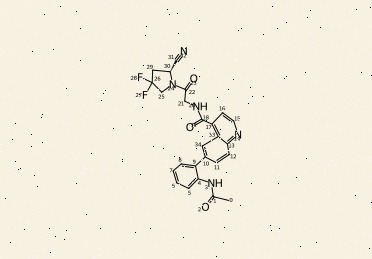 CC(=O)Nc1ccccc1-c1ccc2nccc(C(=O)NCC(=O)N3CC(F)(F)C[C@H]3C#N)c2c1